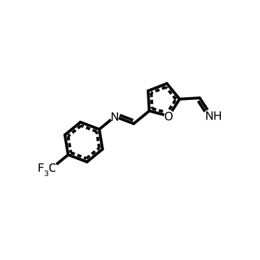 N=Cc1ccc(/C=N/c2ccc(C(F)(F)F)cc2)o1